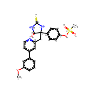 COc1cccc(-c2ccnc(CC3(c4ccc(OS(C)(=O)=O)cc4)NC(=S)NC3=O)c2)c1